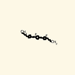 CCCCCCc1ccc(C#Cc2ccc(C#Cc3ccc(CCCCC)c(F)c3)cc2F)cc1